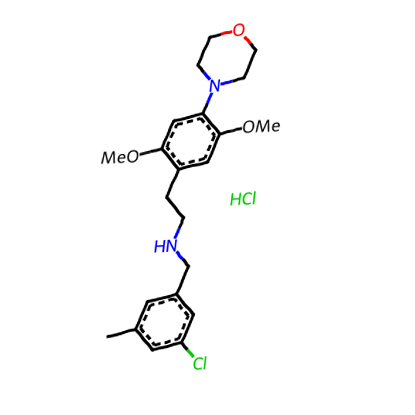 COc1cc(N2CCOCC2)c(OC)cc1CCNCc1cc(C)cc(Cl)c1.Cl